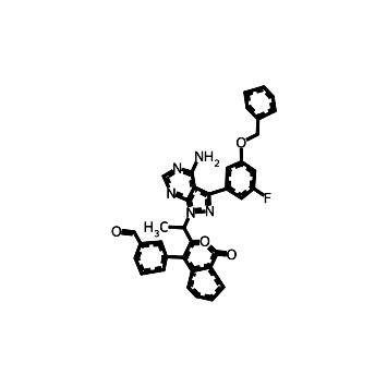 CC(c1oc(=O)c2ccccc2c1-c1cccc(C=O)c1)n1nc(-c2cc(F)cc(OCc3ccccc3)c2)c2c(N)ncnc21